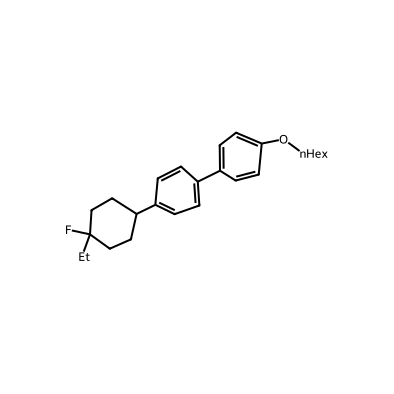 CCCCCCOc1ccc(-c2ccc(C3CCC(F)(CC)CC3)cc2)cc1